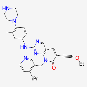 CCOC#Cc1cc2cnc(Nc3ccc(N4CCNCC4)c(C)c3)nc2n(Cc2cnccc2C(C)C)c1=O